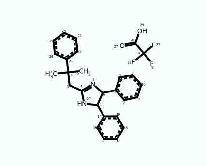 CC(C)(CC1=NC(c2ccccc2)C(c2ccccc2)N1)c1ccccc1.O=C(O)C(F)(F)F